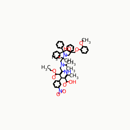 CCOC(=O)C1=C(CN(CC(C)(C)N(CC(O)COc2ccccc2OC)C(c2ccccc2)(c2ccccc2)c2ccccc2)C(C)C)NC(C)=C(C(=O)O)C1c1cccc([N+](=O)[O-])c1